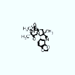 CN1C(=O)[C@@]23C[C@](C)(C#N)[C@H](c4ccc5c(c4)OCO5)N2C(=O)[C@@]1(C)SSS3